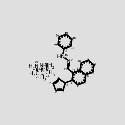 C1=CC(c2ccc3ccccc3c2C=NNc2ccccc2)C=C1.CN.CN.CN